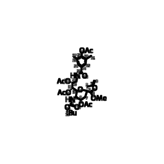 C=CC[C@]1(C(=O)OC)C[C@H](OC(C)=O)[C@@H](NC(=O)OC(C)(C)C)[C@H]([C@H](OC(C)=O)[C@@H](CNC(=O)c2cc(C)c(OC(C)=O)c(C)c2)OC(C)=O)O1